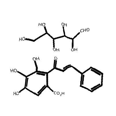 O=C(O)c1cc(O)c(O)c(O)c1C(=O)C=Cc1ccccc1.O=CC(O)C(O)C(O)C(O)CO